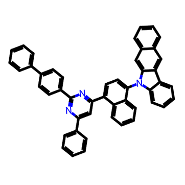 c1ccc(-c2ccc(-c3nc(-c4ccccc4)cc(-c4ccc(-n5c6ccccc6c6cc7ccccc7cc65)c5ccccc45)n3)cc2)cc1